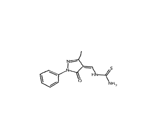 CC1=NN(c2ccccc2)C(=O)C1=CNC(N)=S